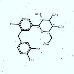 CC(=O)OC[C@H]1O[C@@H](c2ccc(Cl)c(Cc3ccc(O)c(C(C)=O)c3)c2)[C@H](OC(C)=O)C(OC(C)=O)[C@@H]1OC(C)=O